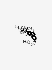 Cc1nc(C)c(-c2ccc3c(c2)CCC32CCC(CC(=O)O)CC2)nc1C(N)=O